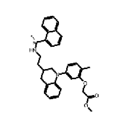 COC(=O)COc1cc(N2CC(CCN[C@H](C)c3cccc4ccccc34)Cc3ccccc32)ccc1C